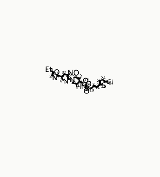 CCc1cnc(-c2cnc(N3CCC(C(=O)NS(=O)(=O)CC=Cc4ccc(Cl)s4)CC3)c([N+](=O)[O-])c2)o1